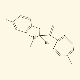 C=C(C1=C=CC=C(C)C=C1)C(CC)(Cc1ccc(C)cc1)N(C)C